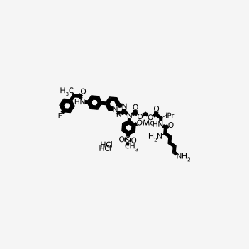 COc1cc(S(C)(=O)=O)ccc1N(C(=O)OCOC(=O)[C@@H](NC(=O)[C@@H](N)CCCCN)C(C)C)c1nc2ccc(-c3ccc(NC(=O)[C@H](C)c4ccc(F)cc4)cc3)cn2n1.Cl.Cl